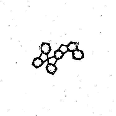 c1ccc2c(c1)-c1cc3c(cc1C21c2ccccc2-c2ncccc21)Cc1cnc2ccccc2c1-3